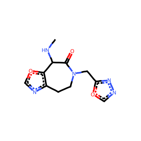 CNC1C(=O)N(Cc2nnco2)CCc2ncoc21